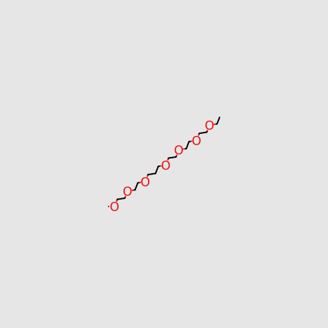 CCOCCOCCOCCOCCCOCCOCC[O]